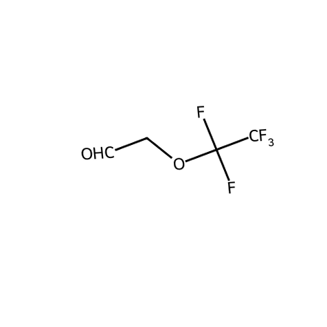 O=CCOC(F)(F)C(F)(F)F